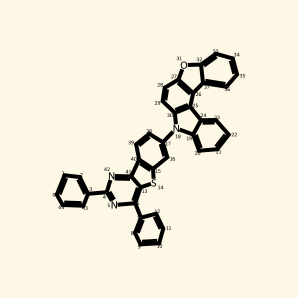 c1ccc(-c2nc(-c3ccccc3)c3sc4cc(-n5c6ccccc6c6c7c(ccc65)oc5ccccc57)ccc4c3n2)cc1